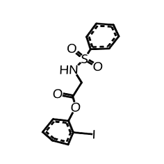 O=C(CNS(=O)(=O)c1ccccc1)Oc1ccccc1I